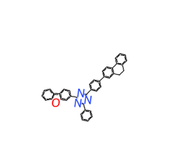 c1ccc(-c2nc(-c3ccc(-c4ccc5c(c4)CCc4ccccc4-5)cc3)nc(-c3ccc4c(c3)oc3ccccc34)n2)cc1